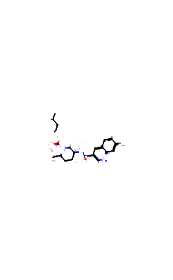 CCCCOC(=O)N1CC(NC(=O)c2cnc3cc(Cl)ccc3c2)CCC1C(=O)O